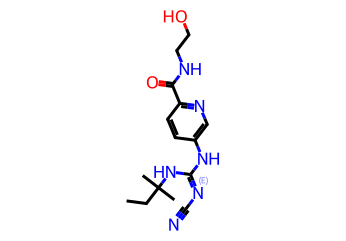 CCC(C)(C)N/C(=N\C#N)Nc1ccc(C(=O)NCCO)nc1